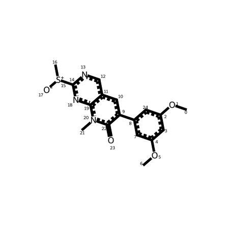 COc1cc(OC)cc(-c2cc3cnc([S+](C)[O-])nc3n(C)c2=O)c1